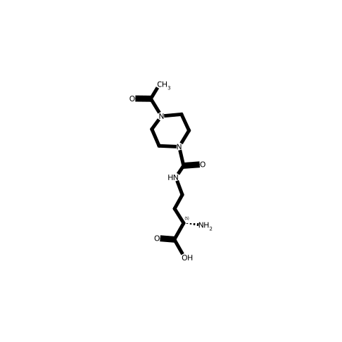 CC(=O)N1CCN(C(=O)NCC[C@H](N)C(=O)O)CC1